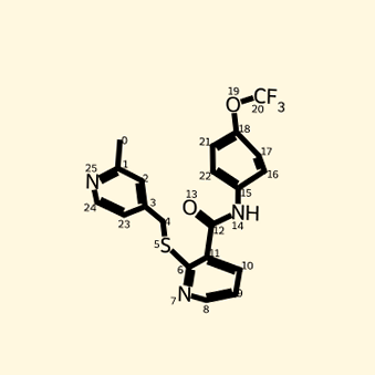 Cc1cc(CSc2ncccc2C(=O)Nc2ccc(OC(F)(F)F)cc2)ccn1